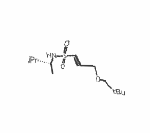 CC(C)[C@@H](C)NS(=O)(=O)/C=C/COCC(C)(C)C